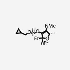 CCC[C@]1(CC)O[C@@H](C)C(NC)=C1OPOCC1CC1